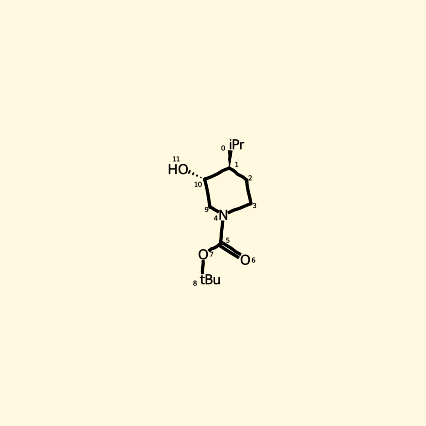 CC(C)[C@H]1CCN(C(=O)OC(C)(C)C)C[C@@H]1O